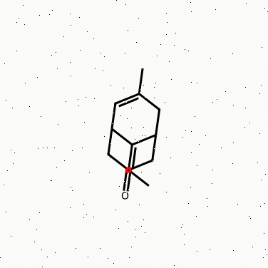 C/C=C1/C2C=C(C)CC1CC(=O)C2